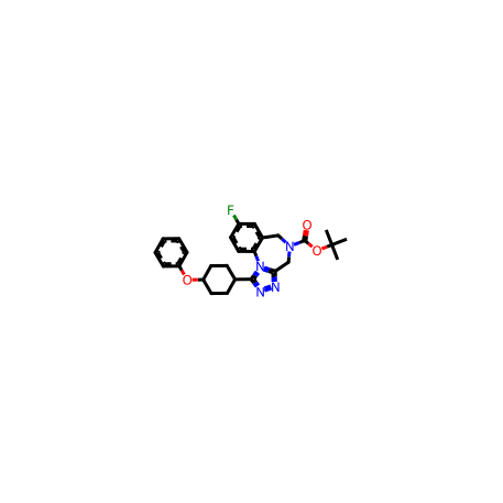 CC(C)(C)OC(=O)N1Cc2cc(F)ccc2-n2c(nnc2C2CCC(Oc3ccccc3)CC2)C1